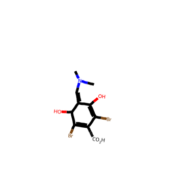 CN(C)C=C1C(O)=C(Br)C(C(=O)O)=C(Br)C1O